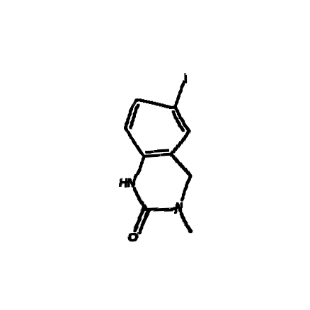 CN1Cc2cc(I)ccc2NC1=O